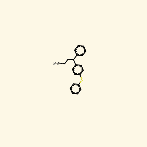 CNCCC(c1ccccc1)c1ccc(Sc2ccccc2)cc1